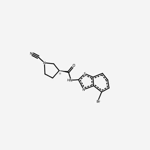 N#CN1CC[C@H](C(=O)Nc2nc3c(Br)cccc3s2)C1